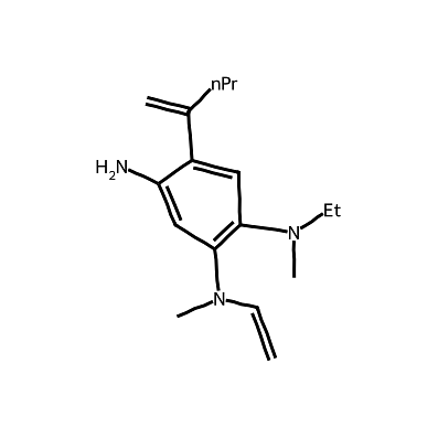 C=CN(C)c1cc(N)c(C(=C)CCC)cc1N(C)CC